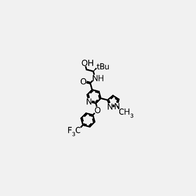 Cn1ccc(-c2cc(C(=O)N[C@@H](CO)C(C)(C)C)cnc2Oc2ccc(C(F)(F)F)cc2)n1